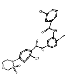 Cc1ccc(NC(=O)c2ccc(N3CCOCS3(=O)=O)cc2Cl)cc1NC(=O)c1cccc(Cl)c1